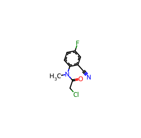 CN(C(=O)CCl)c1ccc(F)cc1C#N